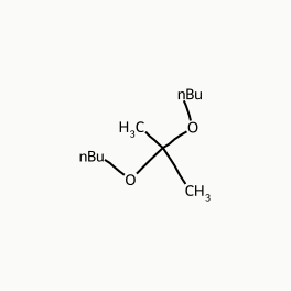 CCCCOC(C)(C)OCCCC